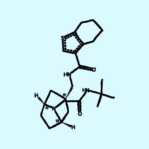 CC(C)(C)NC(=O)CN1[C@@H]2CC[C@H]1C[C@H](CNC(=O)c1csc3c1CCCC3)C2